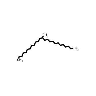 CCCCCCCCCCCCC(C)CCCCCCCCCCCC